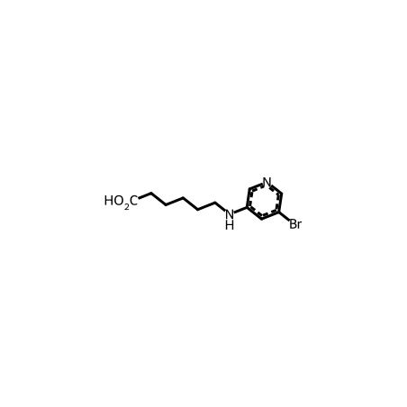 O=C(O)CCCCCNc1cncc(Br)c1